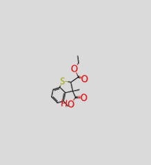 CCOC(=O)C1Sc2cccc(C)c2C1(C)C(=O)O